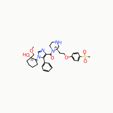 COC[C@]1(O)CCCC[C@H]1n1cnc(C(=O)N2CCNC[C@H]2CCOc2ccc(S(C)(=O)=O)cc2)c1-c1ccccc1